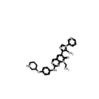 CCn1c(=O)c(-c2ncn(-c3cccnc3)c2C)cc2cnc(Nc3ccc(OC4CCCNC4)cc3)nc21